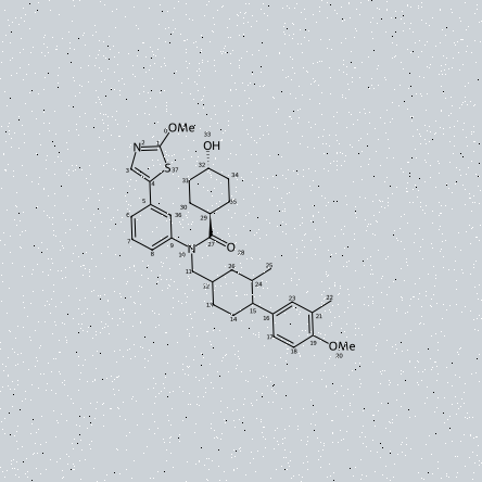 COc1ncc(-c2cccc(N(CC3CCC(c4ccc(OC)c(C)c4)C(C)C3)C(=O)[C@H]3CC[C@H](O)CC3)c2)s1